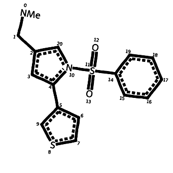 CNCc1cc(-c2ccsc2)n(S(=O)(=O)c2ccccc2)c1